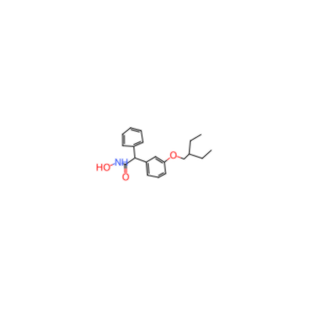 CCC(CC)COc1cccc(C(C(=O)NO)c2ccccc2)c1